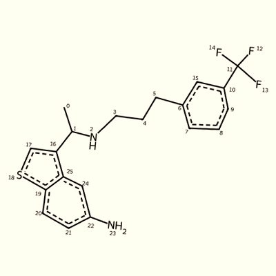 CC(NCCCc1cccc(C(F)(F)F)c1)c1csc2ccc(N)cc12